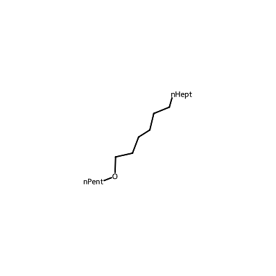 [CH2]CCCCCCCCCCCCOCCCCC